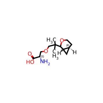 CC(C)(COC[C@H](N)C(=O)O)C1OCC[C@H]2C[C@H]12